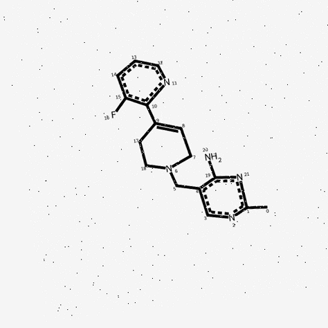 Cc1ncc(CN2CC=C(c3ncccc3F)CC2)c(N)n1